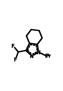 CC(C)n1nc(C(F)F)c2c1CCCC2